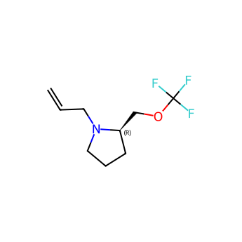 C=CCN1CCC[C@@H]1COC(F)(F)F